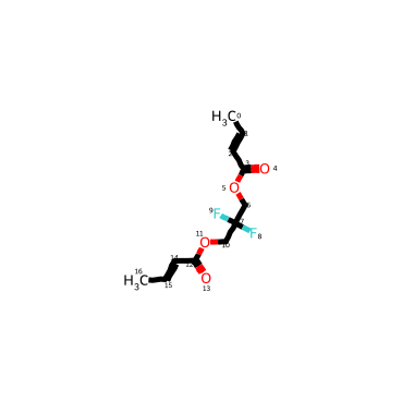 CC=CC(=O)OCC(F)(F)COC(=O)C=CC